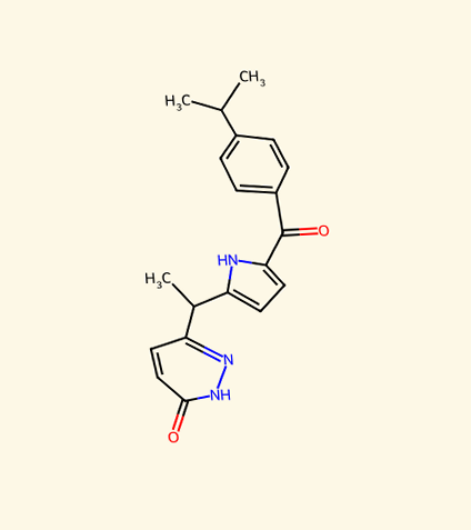 CC(C)c1ccc(C(=O)c2ccc(C(C)c3ccc(=O)[nH]n3)[nH]2)cc1